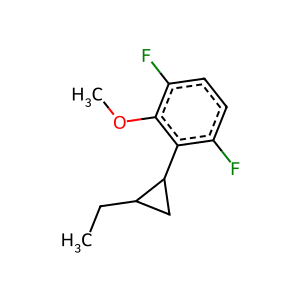 CCC1CC1c1c(F)ccc(F)c1OC